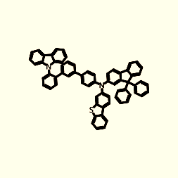 c1ccc(C2(c3ccccc3)c3ccccc3-c3ccc(N(c4ccc(-c5cccc(-c6ccccc6-n6c7ccccc7c7ccccc76)c5)cc4)c4ccc5c(c4)sc4ccccc45)cc32)cc1